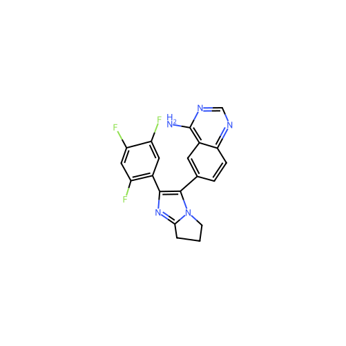 Nc1ncnc2ccc(-c3c(-c4cc(F)c(F)cc4F)nc4n3CCC4)cc12